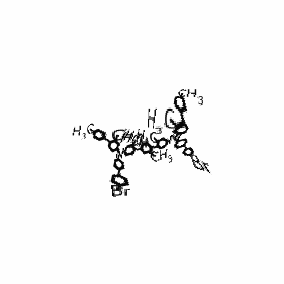 Cc1ccc(-c2ccc(N(c3ccc(-c4ccc(Br)cc4)cc3)c3ccc(-c4cc(C)c(-c5ccc(N(c6ccc(-c7ccc(Br)cc7)cc6)c6ccc(-c7ccc(C)cc7)c(C)c6)cc5C)cc4C)c(C)c3)cc2C)cc1